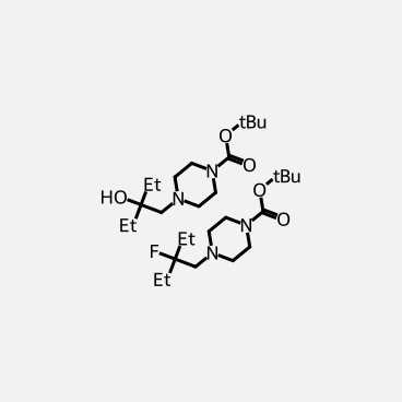 CCC(F)(CC)CN1CCN(C(=O)OC(C)(C)C)CC1.CCC(O)(CC)CN1CCN(C(=O)OC(C)(C)C)CC1